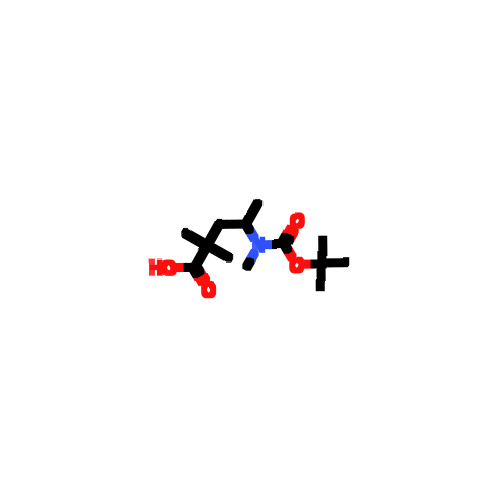 CC(CC(C)(C)C(=O)O)N(C)C(=O)OC(C)(C)C